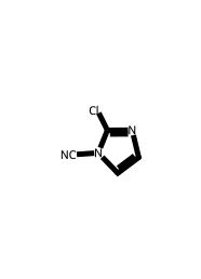 N#Cn1ccnc1Cl